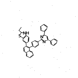 CCC1Nc2ccc(-c3ccc4ccccc4c3-c3ccc(-c4nc(-c5ccccc5)cc(-c5ccccc5)n4)cc3)cc2S1